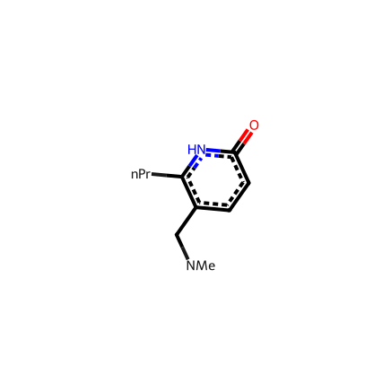 CCCc1[nH]c(=O)ccc1CNC